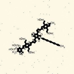 CC#CC#CC#CC#CC#CN1C(=O)c2c(c(-c3ccc(-c4cc5c(CCCCCCCCCCCC)c6sc(-c7c(OCCCCCCCC)c(OCCCCCCCC)c(C)c8nsnc78)cc6c(CCCCCCCCCCCC)c5s4)s3)c3nsnc3c2-c2ccc(-c3cc4c(CCCCCCCCCCCC)c5sc(C)cc5c(CCCCCCCCCCCC)c4s3)s2)C1=O